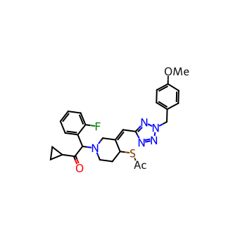 COc1ccc(Cn2nnc(/C=C3/CN(C(C(=O)C4CC4)c4ccccc4F)CCC3SC(C)=O)n2)cc1